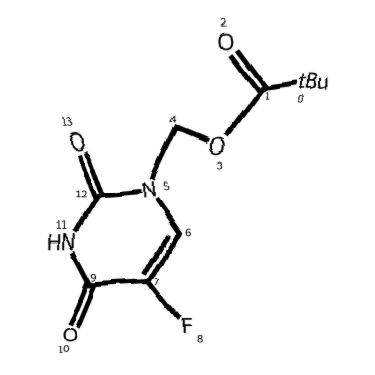 CC(C)(C)C(=O)OCn1cc(F)c(=O)[nH]c1=O